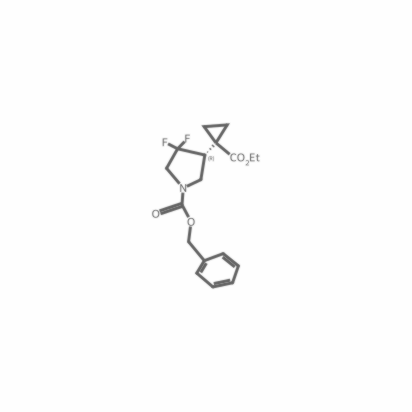 CCOC(=O)C1([C@@H]2CN(C(=O)OCc3ccccc3)CC2(F)F)CC1